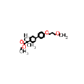 CCOC(=O)C(C)(C)c1ccc(-c2ccc(OCCCOC)cc2)cc1